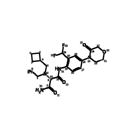 CC(C)CN(CC1CCC1)[C@@H](C(N)=O)C(=O)Nc1ccc(N2CCOCC2=O)cc1C(F)F